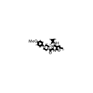 COc1ccc(N2CCN(C(=O)c3nc(NC4(C)CC4)c4cc(C)oc4n3)CC2)cc1